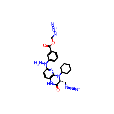 [N-]=[N+]=NCOC(=O)c1cccc(N(N)c2ccc3c(n2)N(C2CCCCC2)[C@H](CN=[N+]=[N-])C(=O)N3)c1